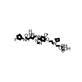 COc1cc2c(Nc3cc(CC(=O)Nc4cccc(F)c4)[nH]n3)ncnc2cc1OCCCN(CCOP(=O)(O)O)C1CCC1